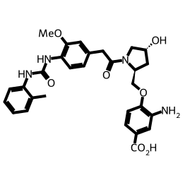 COc1cc(CC(=O)N2C[C@H](O)C[C@H]2COc2ccc(C(=O)O)cc2N)ccc1NC(=O)Nc1ccccc1C